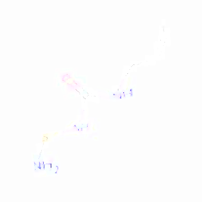 C=CCNC(=O)NSN